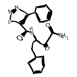 NC(=O)C(=O)C(Cc1ccccc1)NC(=O)c1onnc1-c1ccccc1